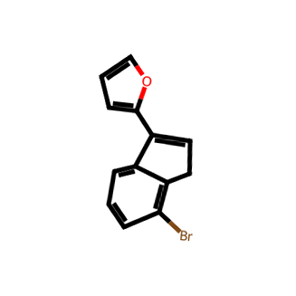 Brc1cccc2c1CC=C2c1ccco1